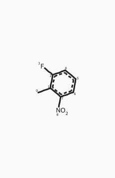 Cc1c(F)cccc1[N+](=O)[O-]